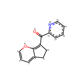 O=C(C1=C2OC=CC=C2CC1)c1ccccn1